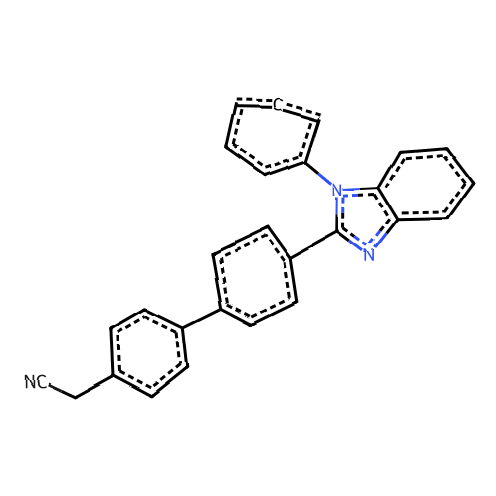 N#CCc1ccc(-c2ccc(-c3nc4ccccc4n3-c3ccccc3)cc2)cc1